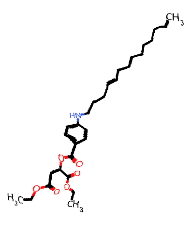 CCCCCCCCCC=CCCCNc1ccc(C(=O)OC(CC(=O)OCC)C(=O)OCC)cc1